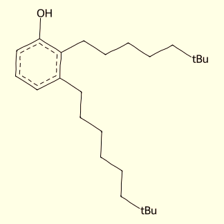 CC(C)(C)CCCCCCc1cccc(O)c1CCCCCC(C)(C)C